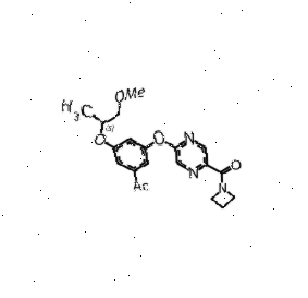 COC[C@H](C)Oc1cc(Oc2cnc(C(=O)N3CCC3)cn2)cc(C(C)=O)c1